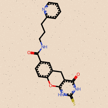 O=C(NCCCc1ccccn1)c1ccc2c(c1)Cc1c([nH]c(=S)[nH]c1=O)O2